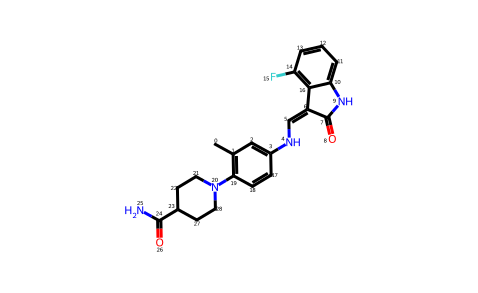 Cc1cc(NC=C2C(=O)Nc3cccc(F)c32)ccc1N1CCC(C(N)=O)CC1